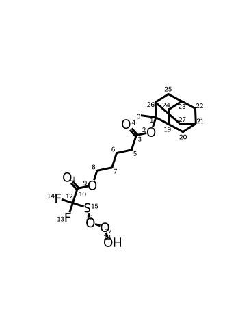 CC1(OC(=O)CCCCOC(=O)C(F)(F)SOOO)C2CC3CC(C2)CC1C3